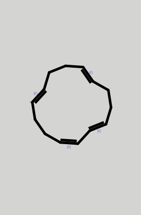 [C]1=C/CC/C=C/CC/C=C/C=C\CC/1